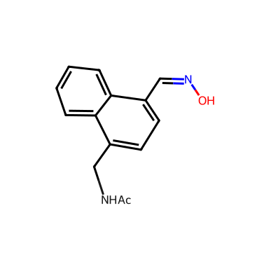 CC(=O)NCc1ccc(/C=N\O)c2ccccc12